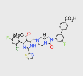 COC(=O)C1=C(CN2CCN3C(=O)N(c4cc(F)cc(-c5ccc(C(=O)O)cc5)c4)C[C@@H]3C2)NC(c2nccs2)=N[C@H]1c1ccc(F)cc1Cl